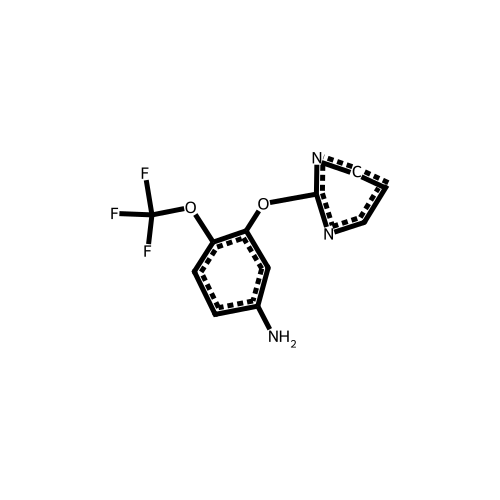 Nc1ccc(OC(F)(F)F)c(Oc2ncccn2)c1